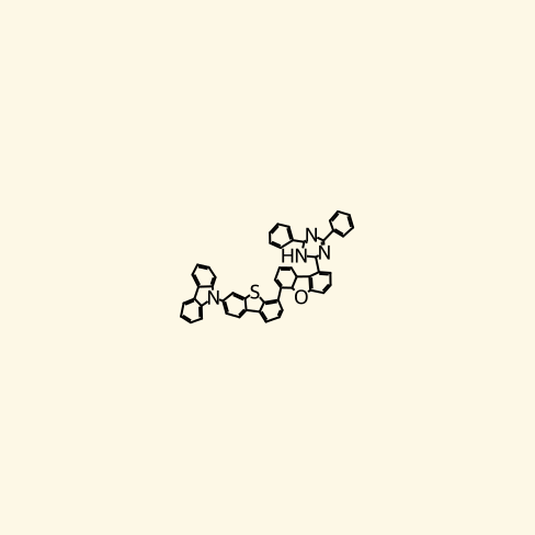 C1=CC2c3c(cccc3C3N=C(c4ccccc4)N=C(c4ccccc4)N3)OC2C(c2cccc3c2sc2cc(-n4c5ccccc5c5ccccc54)ccc23)=C1